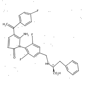 C=C(c1ccc(F)cc1)c1ccc(=O)n(-c2c(F)cc(CN[C@@H](Cc3ccccc3)C(=O)O)cc2F)c1N